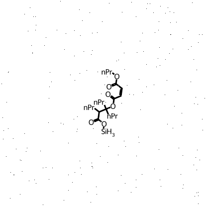 CCCOC(=O)/C=C\C(=O)OC(CCC)(CCC)C(CCC)C(=O)O[SiH3]